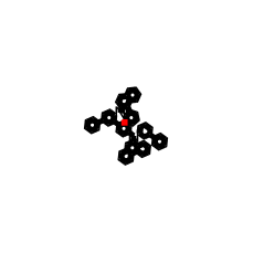 C1=CC(c2ccccc2)CC(N(c2ccc(-c3cc(-c4ccccc4)ccc3-n3c4ccccc4c4c5ccccc5ccc43)cc2)c2cc3ccccc3c3ccccc23)=C1